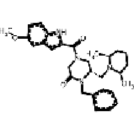 COc1ccc2[nH]c(C(=O)N3CC(=O)N(Cc4ccccc4)[C@@H](CN4[C@H](C)CCC[C@@H]4C)C3)cc2c1